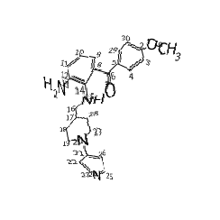 COc1ccc(C(=O)c2cccc(N)c2NCC2CCN(c3ccncc3)CC2)cc1